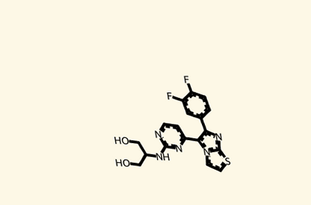 OCC(CO)Nc1nccc(-c2c(-c3ccc(F)c(F)c3)nc3sccn23)n1